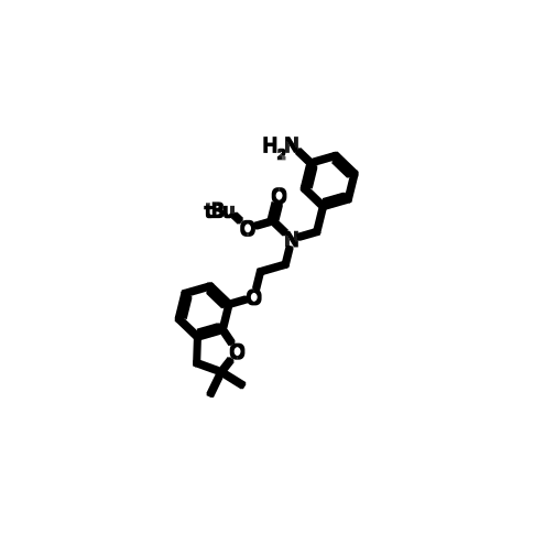 CC(C)(C)OC(=O)N(CCOc1cccc2c1OC(C)(C)C2)Cc1cccc(N)c1